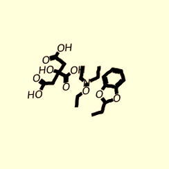 CCC1Oc2ccccc2O1.CCON(CC)CC.O=C(O)CC(O)(CC(=O)O)C(=O)O